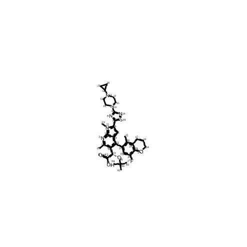 Cc1nc2c(cc(-c3nc(N4CCN(C5CC5)CC4)ns3)n2C)c(-c2cc(F)c3c(c2C)CCCO3)c1[C@H](OC(C)(C)C)C(=O)O